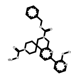 CCOc1ncccc1-c1ccc2c(n1)CN(C(=O)OCc1ccccc1)CC21CCN(C(=O)OC(C)(C)C)CC1